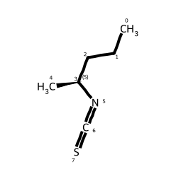 CCC[C@H](C)N=C=S